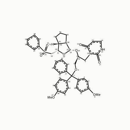 COc1ccc(C(OC[C@H](Cn2c(=O)cc[nH]c2=O)O[P@]2O[C@H](CS(=O)(=O)c3ccccc3)[C@@H]3CCCN32)(c2ccccc2)c2ccc(OC)cc2)cc1